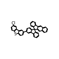 Clc1ccc2sc3ccc(-c4ccc5c(c4)-c4ccccc4C54c5ccccc5-c5cc6ccccc6cc54)cc3c2c1